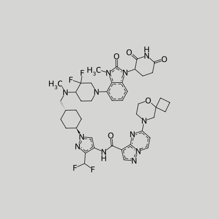 CN(C[C@H]1CC[C@H](n2cc(NC(=O)c3cnn4ccc(N5CCOC6(CCC6)C5)nc34)c(C(F)F)n2)CC1)C1CCN(c2cccc3c2n(C)c(=O)n3C2CCC(=O)NC2=O)CC1(F)F